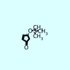 C[Si](C)(C)O[C@H]1C=CC(=O)C1